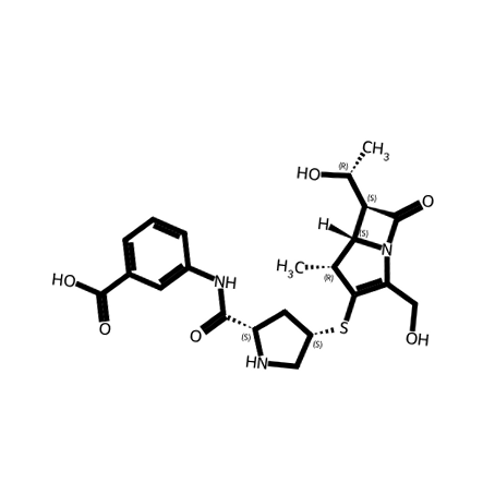 C[C@@H](O)[C@H]1C(=O)N2C(CO)=C(S[C@@H]3CN[C@H](C(=O)Nc4cccc(C(=O)O)c4)C3)[C@H](C)[C@H]12